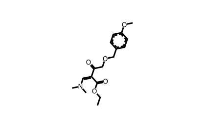 CCOC(=O)C(=CN(C)C)C(=O)COCc1ccc(OC)cc1